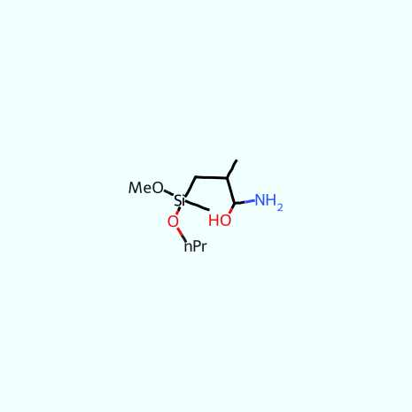 CCCO[Si](C)(CC(C)C(N)O)OC